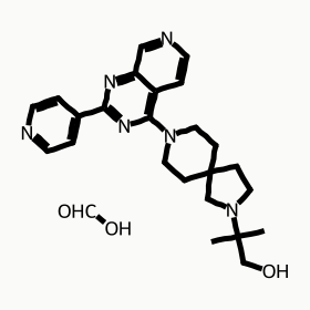 CC(C)(CO)N1CCC2(CCN(c3nc(-c4ccncc4)nc4cnccc34)CC2)C1.O=CO